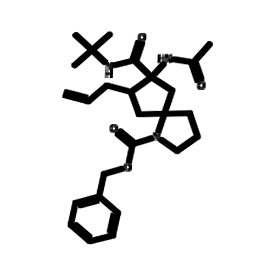 C=CCC1CC2(CCCN2C(=O)OCc2ccccc2)CC1(NC(C)=O)C(=O)NC(C)(C)C